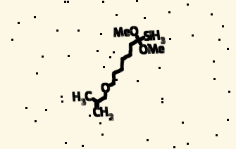 C=C(C)COCCCCCCC([SiH3])(OC)OC